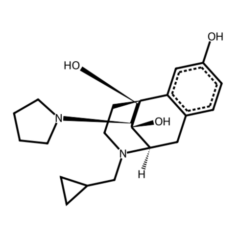 Oc1ccc2c(c1)[C@]13CCN(CC4CC4)[C@H](C2)[C@]1(O)C[C@@H](N1CCCC1)[C@@H](O)C3